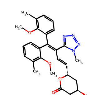 COc1c(C)cccc1C(=C(/C=C/[C@@H]1C[C@@H](O)CC(=O)O1)c1nnnn1C)c1cccc(C)c1OC